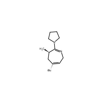 CC[C@@H](C)C1=CCN=C(N2CCCC2)[C@H](C)C1